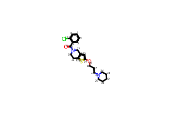 O=C(c1ccccc1Cl)N1CCc2sc(OCCCN3CCCCC3)cc2C1